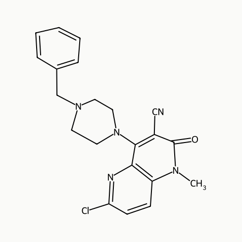 Cn1c(=O)c(C#N)c(N2CCN(Cc3ccccc3)CC2)c2nc(Cl)ccc21